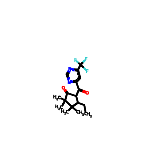 CCC1C(C(=O)c2cc(C(F)(F)F)ncn2)C(=O)C(C)(C)C1(C)C